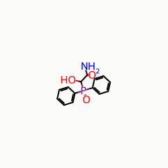 NC(=O)C(O)P(=O)(c1ccccc1)c1ccccc1